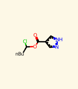 CCCCC(Cl)OC(=O)c1cn[nH]c1